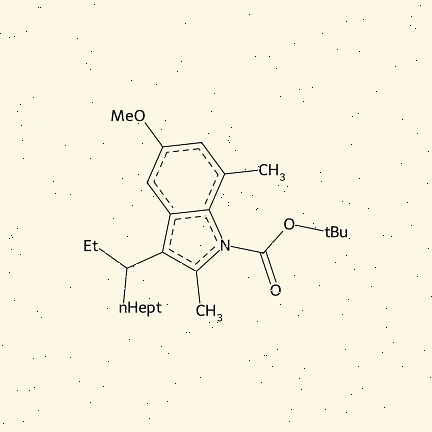 CCCCCCCC(CC)c1c(C)n(C(=O)OC(C)(C)C)c2c(C)cc(OC)cc12